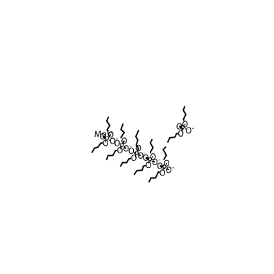 CCCCOP(=O)([O-])OCCCC.CCCCOP(=O)([O-])OCCCC.CCCCOP(=O)([O-])OCCCC.CCCCOP(=O)([O-])OCCCC.CCCCOP(=O)([O-])OCCCC.CCCCOP(=O)([O-])OCCCC.[Mo+6]